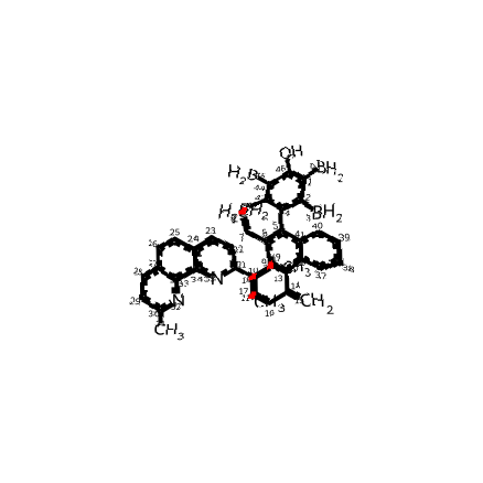 Bc1c(B)c(-c2c(C=C)c(/C=C\C)c(C(=C)/C=C\C(=C/C)c3ccc4ccc5ccc(C)nc5c4n3)c3ccccc23)c(B)c(B)c1O